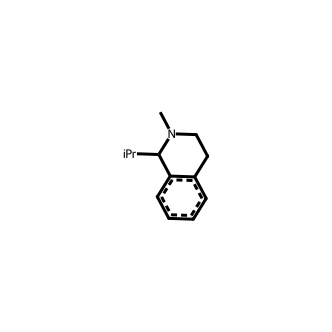 CC(C)C1c2ccccc2CCN1C